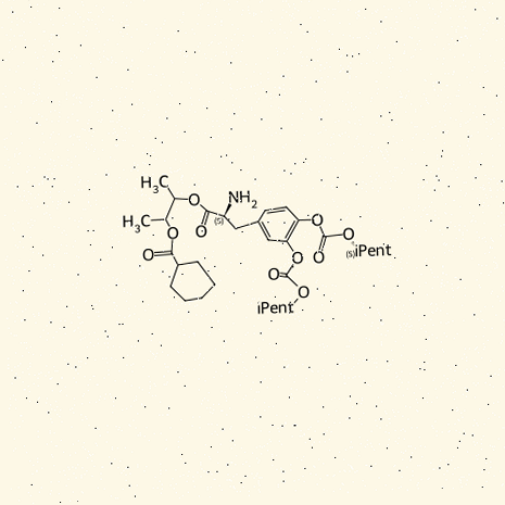 CCCC(C)OC(=O)Oc1cc(C[C@H](N)C(=O)OC(C)C(C)OC(=O)C2CCCCC2)ccc1OC(=O)O[C@@H](C)CCC